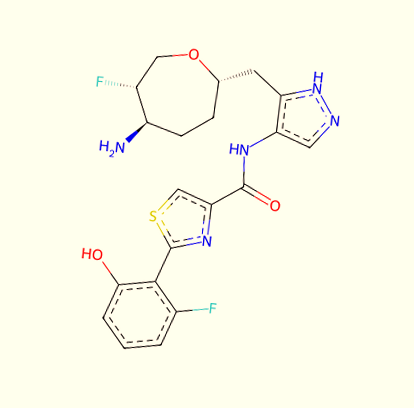 N[C@@H]1CC[C@@H](Cc2[nH]ncc2NC(=O)c2csc(-c3c(O)cccc3F)n2)OC[C@H]1F